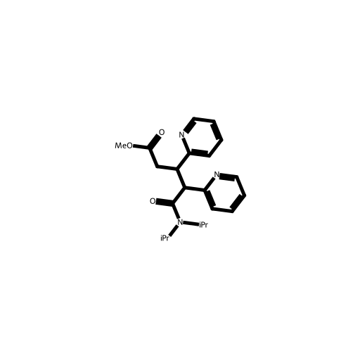 COC(=O)CC(c1ccccn1)C(C(=O)N(C(C)C)C(C)C)c1ccccn1